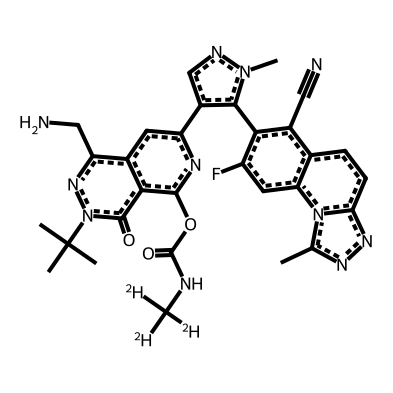 [2H]C([2H])([2H])NC(=O)Oc1nc(-c2cnn(C)c2-c2c(F)cc3c(ccc4nnc(C)n43)c2C#N)cc2c(CN)nn(C(C)(C)C)c(=O)c12